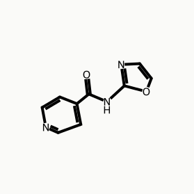 O=C(Nc1ncco1)c1ccncc1